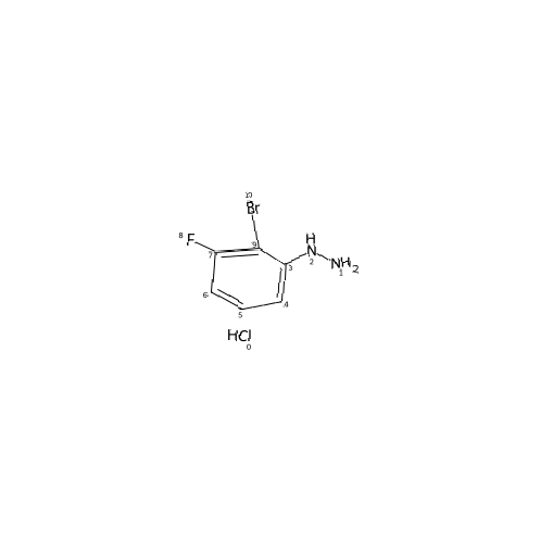 Cl.NNc1cccc(F)c1Br